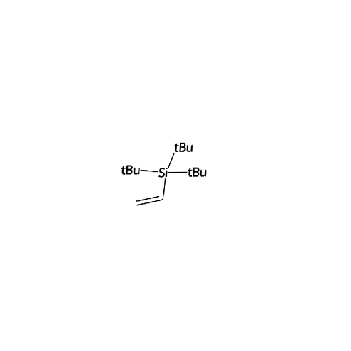 C=C[Si](C(C)(C)C)(C(C)(C)C)C(C)(C)C